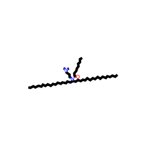 CCCCCCCCCCCCCCCCCCC(CCCCCCCCCCCCCCCCCC)N(CCCN(C)C)C(=O)CCCCCCCC